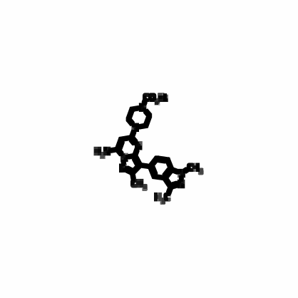 CCOC(=O)N1CCN(c2cc(N)n3nc(C)c(-c4ccc5c(c4)c(C)nn5C)c3n2)CC1